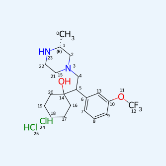 C[C@@H]1CN(CC(c2cccc(OC(F)(F)F)c2)C2(O)CCCCC2)CCN1.Cl.Cl